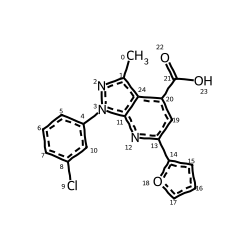 Cc1nn(-c2cccc(Cl)c2)c2nc(-c3ccco3)cc(C(=O)O)c12